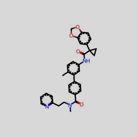 Cc1ccc(NC(=O)C2(c3ccc4c(c3)OCO4)CC2)cc1-c1ccc(C(=O)N(C)CCc2ccccn2)cc1